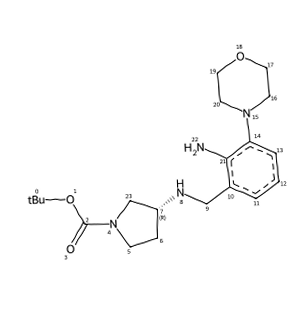 CC(C)(C)OC(=O)N1CC[C@@H](NCc2cccc(N3CCOCC3)c2N)C1